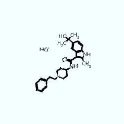 Cc1[nH]c2ccc(C(C)(C)O)cc2c1C(=O)NC1CCN(CCc2ccccc2)CC1.Cl